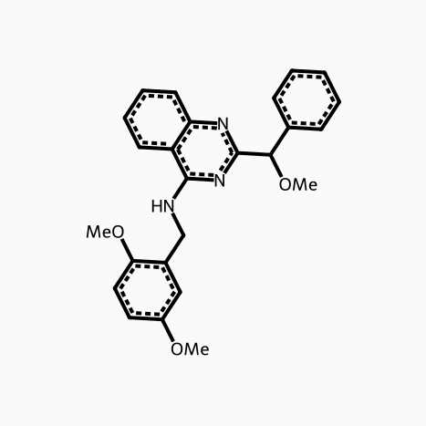 COc1ccc(OC)c(CNc2nc(C(OC)c3ccccc3)nc3ccccc23)c1